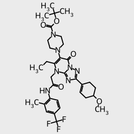 CCc1c(N2CCN(C(=O)OC(C)(C)C)CC2)c(=O)n2nc(C3=CCC(OC)CC3)nc2n1CC(=O)Nc1ccc(C(F)(F)F)cc1C